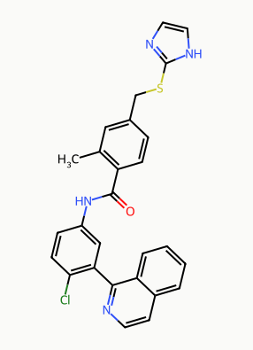 Cc1cc(CSc2ncc[nH]2)ccc1C(=O)Nc1ccc(Cl)c(-c2nccc3ccccc23)c1